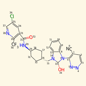 N#Cc1ccnnc1N1c2ccccc2N(C[C@H]2CC[C@H](NC(=O)c3cc(Cl)cnc3C(F)(F)F)CC2)C1O